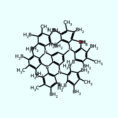 Bc1c(B)c(N(c2cc3c4c(c2)N(c2c(B)c(B)c(C)c(B)c2B)c2c(B)c(B)c(C)c(B)c2B4c2c(B)c(C)c(B)c(B)c2N3c2c(B)c(B)c(C)c(B)c2B)c2c(B)c(B)c(C)c(B)c2B)c(B)c(B)c1C